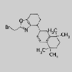 CC1(C)CCC(C)(C)c2cc(C3CCCc4oc(CBr)nc43)ccc21